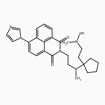 CCCN(C)CCC1(N(C)CCN2C(=O)c3cccc4c(-n5ccnc5)ccc(c34)C2=O)CCCC1